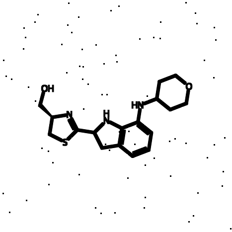 OC[C@@H]1CSC(C2Cc3cccc(NC4CCOCC4)c3N2)=N1